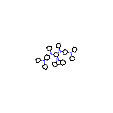 c1ccc(N(c2ccccc2)c2ccc(N(c3ccccc3)c3cc(N(c4ccccc4)c4ccc(N(c5ccccc5)c5ccccc5)cc4)cc(-n4c5ccccc5c5ccccc54)c3)cc2)cc1